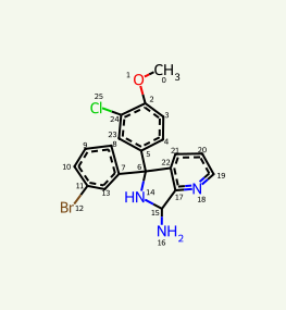 COc1ccc(C2(c3cccc(Br)c3)NC(N)c3ncccc32)cc1Cl